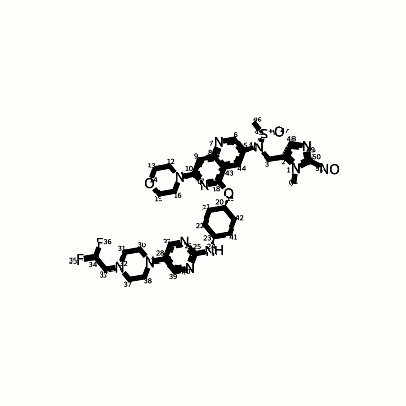 Cn1c(CN(c2cnc3cc(N4CCOCC4)nc(O[C@H]4CC[C@@H](Nc5ncc(N6CCN(CC(F)F)CC6)cn5)CC4)c3c2)[S+](C)[O-])cnc1N=O